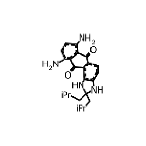 CC(C)CC1(CC(C)C)Nc2ccc3c(c2N1)C(=O)c1c(N)ccc(N)c1C3=O